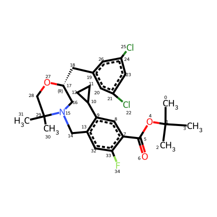 CC(C)(C)OC(=O)c1cc(C2CC2)c(CN2C[C@@H](Cc3cc(Cl)cc(Cl)c3)OCC2(C)C)cc1F